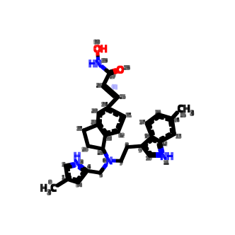 Cc1c[nH]c(CN(CCc2c[nH]c3cc(C)ccc23)C2CCc3cc(/C=C/C(=O)NO)ccc32)c1